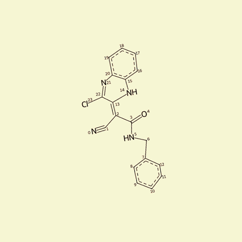 N#CC(C(=O)NCc1ccccc1)=C1Nc2ccccc2N=C1Cl